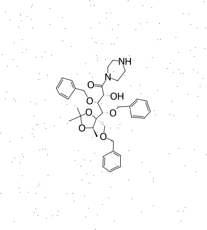 C[C@H]1OC(C)(C)O[C@@]1(COCc1ccccc1)[C@@H](OCc1ccccc1)[C@H](OCc1ccccc1)[C@@H](O)C(=O)N1CCNCC1